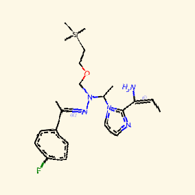 C/C=C(/N)c1nccn1C(C)N(COCC[Si](C)(C)C)/N=C(\C)c1ccc(F)cc1